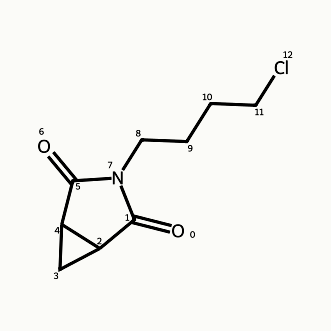 O=C1C2CC2C(=O)N1CCCCCl